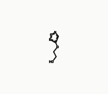 OCCOc1cnon1